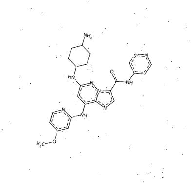 COc1ccnc(Nc2cc(NC3CCC(N)CC3)nn3c(C(=O)Nc4ccncc4)cnc23)c1